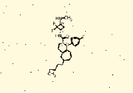 CCCCCC1CC=CC2=C(CCN(C(=O)N[C@H]3C[C@H](NC)C3(F)F)[C@H]2c2ccc(F)cc2)C1